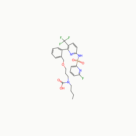 CCCCN(CCCOCc1ccccc1-c1nc(NS(=O)(=O)c2cccc(F)n2)ccc1C(F)(F)F)C(=O)O